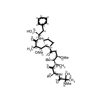 CC[C@H](C)[C@@H]([C@@H](CC(=O)N1CCC[C@H]1[C@H](OC)C(C)C(=O)N[C@H](Cc1ccccc1)C(=O)O)OC)N(C)C(=O)[C@@H](NC(=O)C(C)(C)NC)C(C)C